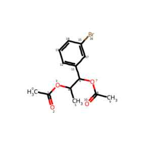 CC(=O)OC(C)C(OC(C)=O)c1cccc(Br)c1